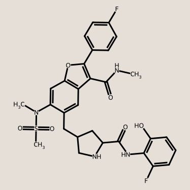 CNC(=O)c1c(-c2ccc(F)cc2)oc2cc(N(C)S(C)(=O)=O)c(CC3CNC(C(=O)Nc4c(O)cccc4F)C3)cc12